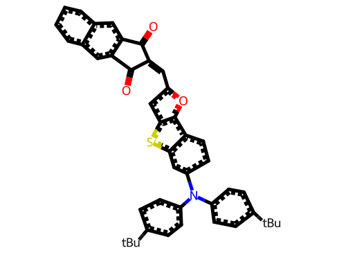 CC(C)(C)c1ccc(N(c2ccc(C(C)(C)C)cc2)c2ccc3c(c2)sc2cc(C=C4C(=O)c5cc6ccccc6cc5C4=O)oc23)cc1